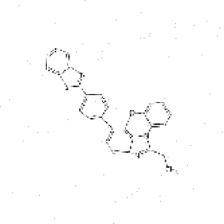 CCc1nc2ccc(-c3ccc(-c4nc5ccccc5s4)cc3)c3c2n1-c1ccccc1O3